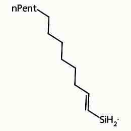 CCCCCCCCCCC/C=C/[SiH2]